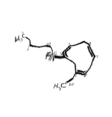 CCCNc1ccccc1C